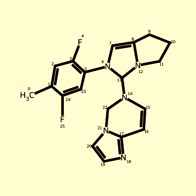 Cc1cc(F)c(N2C=C3CCCN3C2N2C=Cc3nccn3C2)cc1F